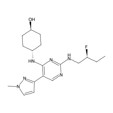 CC[C@H](F)CNc1ncc(-c2ccn(C)n2)c(N[C@H]2CC[C@H](O)CC2)n1